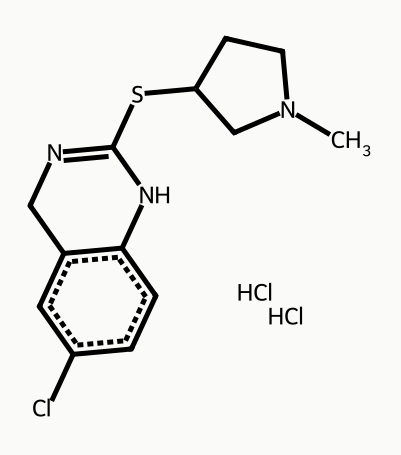 CN1CCC(SC2=NCc3cc(Cl)ccc3N2)C1.Cl.Cl